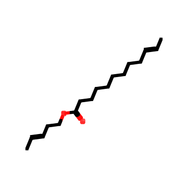 C/C=C/CCCCCCCCC(=O)OCC/C=C/C